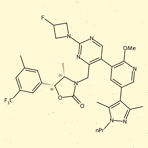 CCCn1nc(C)c(-c2cnc(OC)c(-c3cnc(N4CC(F)C4)nc3CN3C(=O)O[C@H](c4cc(C)cc(C(F)(F)F)c4)[C@@H]3C)c2)c1C